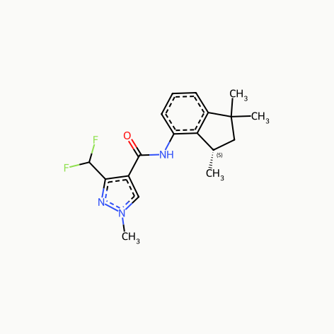 C[C@H]1CC(C)(C)c2cccc(NC(=O)c3cn(C)nc3C(F)F)c21